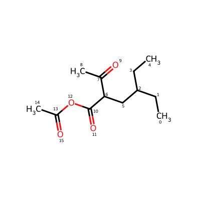 CCC(CC)CC(C(C)=O)C(=O)OC(C)=O